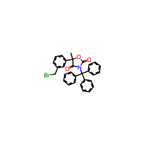 CC1(c2cccc(CBr)c2)OC(=O)N(C(c2ccccc2)(c2ccccc2)c2ccccc2)C1=O